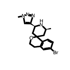 C[C@H]1CC2(C[C@@H](c3cn(C)nn3)N1)OCCc1cc(Br)ccc12